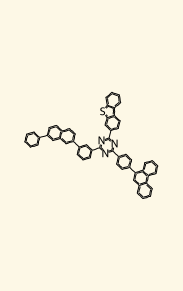 c1ccc(-c2ccc3ccc(-c4cccc(-c5nc(-c6ccc(-c7cc8ccccc8c8ccccc78)cc6)nc(-c6ccc7c(c6)sc6ccccc67)n5)c4)cc3c2)cc1